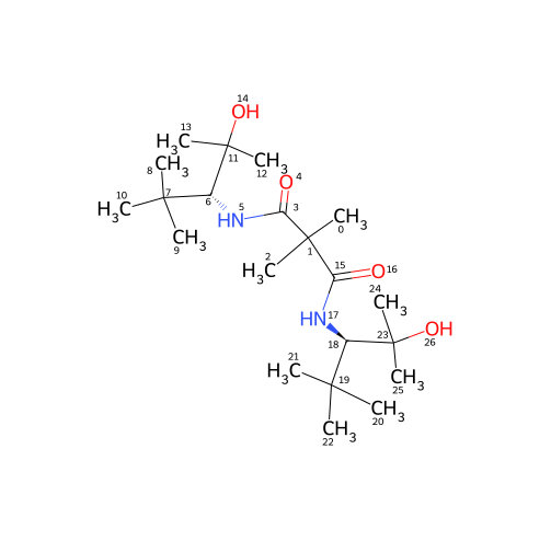 CC(C)(C(=O)N[C@H](C(C)(C)C)C(C)(C)O)C(=O)N[C@H](C(C)(C)C)C(C)(C)O